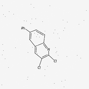 CC(C)c1ccc2nc(Cl)c(Cl)cc2c1